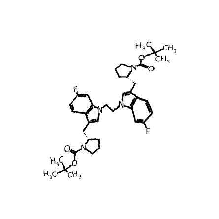 CC(C)(C)OC(=O)N1CCC[C@H]1Cc1cn(CCn2cc(C[C@@H]3CCCN3C(=O)OC(C)(C)C)c3ccc(F)cc32)c2cc(F)ccc12